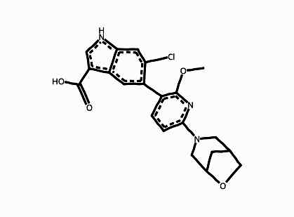 COc1nc(N2CC3COC(C3)C2)ccc1-c1cc2c(C(=O)O)c[nH]c2cc1Cl